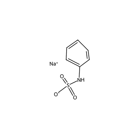 O=S(=O)([O-])Nc1ccccc1.[Na+]